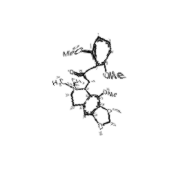 COc1cccc(OC)c1C(=O)CC1c2c(cc3c(c2OC)OCO3)CC[N+]1(C)C